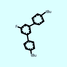 CC(C)(C)c1ccc(-c2cc(F)cc(-c3ccc(C(C)(C)C)cc3)c2)cc1